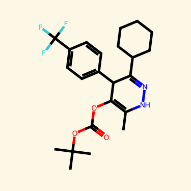 CC1=C(OC(=O)OC(C)(C)C)C(c2ccc(C(F)(F)F)cc2)C(C2CCCCC2)=NN1